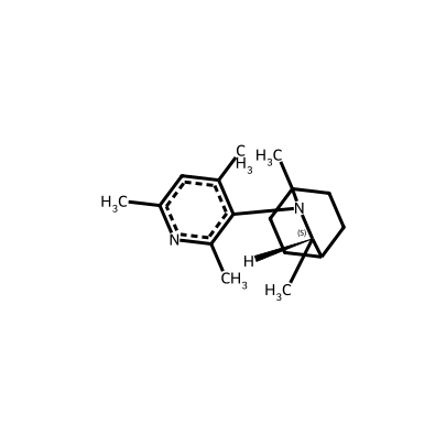 Cc1cc(C)c(N2[C@@H](C)C3CCC2(C)CC3)c(C)n1